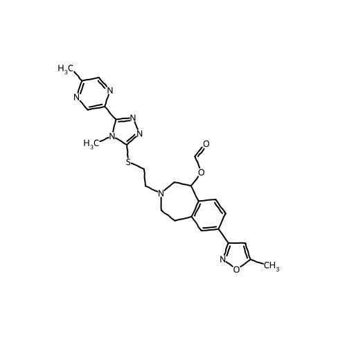 Cc1cnc(-c2nnc(SCCN3CCc4cc(-c5cc(C)on5)ccc4C(OC=O)C3)n2C)cn1